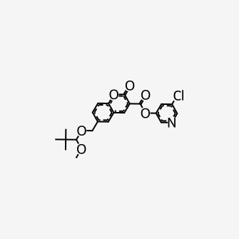 COC(OCc1ccc2oc(=O)c(C(=O)Oc3cncc(Cl)c3)cc2c1)C(C)(C)C